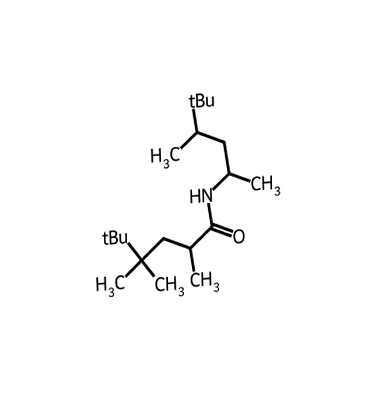 CC(CC(C)C(C)(C)C)NC(=O)C(C)CC(C)(C)C(C)(C)C